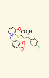 O=C(O)OC1=C(SCCCc2ccc(F)cc2)N(Cc2ccc3c(c2)OCO3)CC=C1